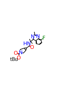 Cc1nc(C(C)(C)NC(=O)C2C3CN(C(=O)OC(C)(C)C)CC32)c2cccc(F)c2n1